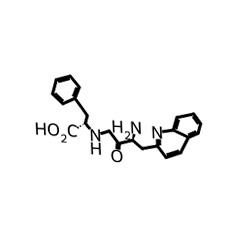 N[C@@H](Cc1ccc2ccccc2n1)C(=O)CN[C@@H](Cc1ccccc1)C(=O)O